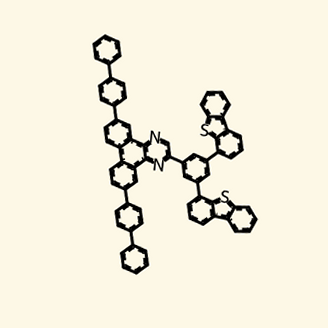 c1ccc(-c2ccc(-c3ccc4c5ccc(-c6ccc(-c7ccccc7)cc6)cc5c5nc(-c6cc(-c7cccc8c7sc7ccccc78)cc(-c7cccc8c7sc7ccccc78)c6)cnc5c4c3)cc2)cc1